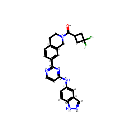 O=C(C1CC(F)(F)C1)N1CCc2ccc(-c3nccc(Nc4ccc5[nH]ncc5c4)n3)cc2C1